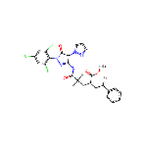 CCCCOC(=O)C(CC(CC)c1ccccc1)CC(C)(CC)C(=O)NC1=NN(c2c(Cl)cc(Cl)cc2Cl)C(=O)C1n1cccn1